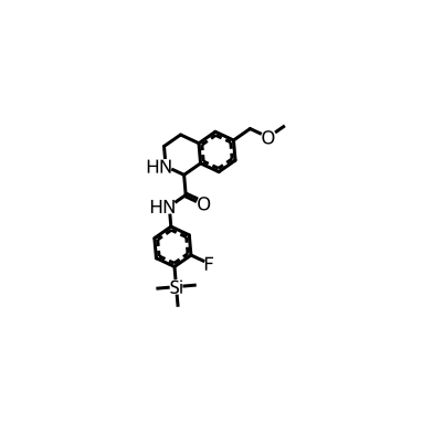 COCc1ccc2c(c1)CCNC2C(=O)Nc1ccc([Si](C)(C)C)c(F)c1